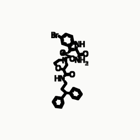 NC(=O)c1[nH]c2ccc(Br)cc2c1S(=O)(=O)N1CCOC(C(=O)NCCC(c2ccccc2)c2ccccc2)C1